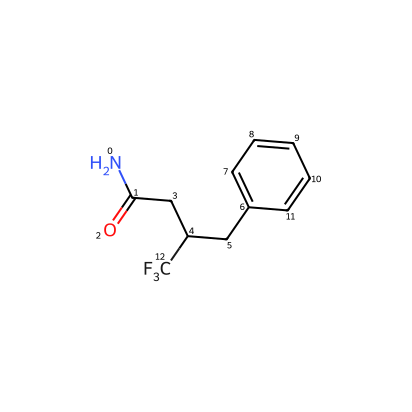 NC(=O)CC(Cc1ccccc1)C(F)(F)F